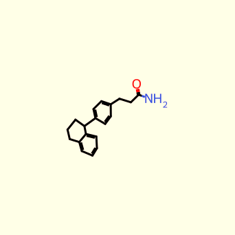 NC(=O)CCc1ccc(C2CCCc3ccccc32)cc1